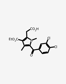 CCOC(=O)c1c(C)c(C(=O)c2ccc(Cl)c(Cl)c2)n(C)c1CC(=O)O